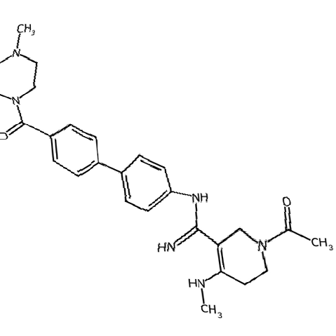 CNC1=C(C(=N)Nc2ccc(-c3ccc(C(=O)N4CCN(C)CC4)cc3)cc2)CN(C(C)=O)CC1